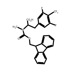 CN(C(=O)OCC1c2ccccc2-c2ccccc21)C(Cc1cc(F)c(C(F)(F)F)c(F)c1)C(=O)O